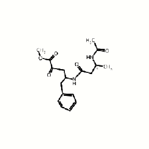 COC(=O)C(=O)CC(Cc1ccccc1)NC(=O)C[C@H](C)NC(C)=O